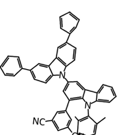 Cc1cccc(C)c1-n1c2ccccc2c2cc(-n3c4ccc(-c5ccccc5)cc4c4cc(-c5ccccc5)ccc43)cc(-c3cc(C#N)cc(C#N)c3)c21